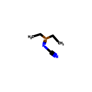 CCS(CC)=NC#N